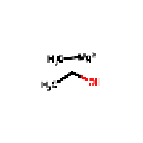 CCO.[CH3][Mg+2]